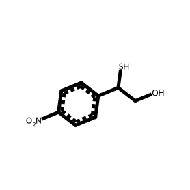 O=[N+]([O-])c1ccc(C(S)CO)cc1